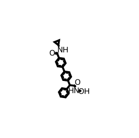 O=C(NC1CC1)c1ccc(-c2ccc(C(C(=O)NO)c3ccccc3)cc2)cc1